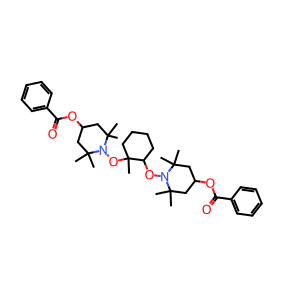 CC1(ON2C(C)(C)CC(OC(=O)c3ccccc3)CC2(C)C)CCCCC1ON1C(C)(C)CC(OC(=O)c2ccccc2)CC1(C)C